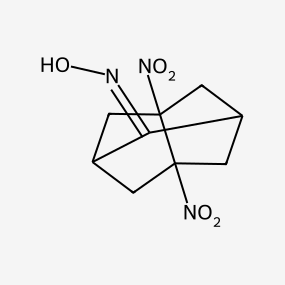 O=[N+]([O-])C12CC3CC1([N+](=O)[O-])CC(C2)C3=NO